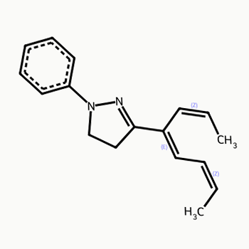 C\C=C/C=C(\C=C/C)C1=NN(c2ccccc2)CC1